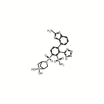 Nc1nc2c(-c3ccc(S(=O)(=O)N4CC5CC4CS5(O)O)c(S(N)(=O)=O)c3-c3nnn[nH]3)cccc2s1